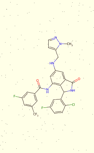 Cn1nccc1CNc1cc(NC(=O)c2cc(F)cc(C(F)(F)F)c2)c2c(c1)C(=O)NC2c1cc(F)ccc1Cl